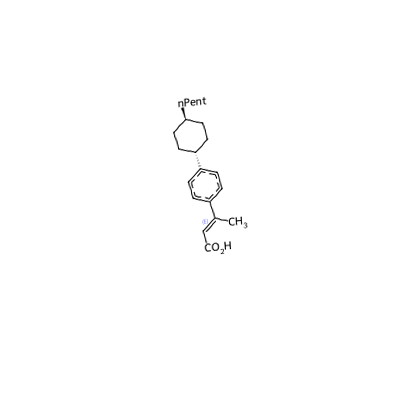 CCCCC[C@H]1CC[C@H](c2ccc(/C(C)=C/C(=O)O)cc2)CC1